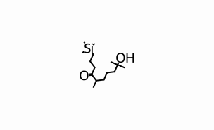 CC(CCCC(C)(C)O)C(=O)CCC[Si](C)(C)C